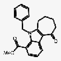 COC(=O)c1cccc2c3c(n(Cc4ccccc4)c12)CCCCC3=O